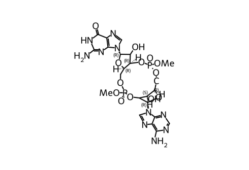 COP1(=O)OC[C@H]2O[C@@H](n3cnc4c(=O)[nH]c(N)nc43)C(O)[C@H]2OP(=O)(OC)OC[C@H]2O[C@@H](n3cnc4c(N)ncnc43)C(O1)[C@H]2O